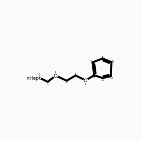 CCCCCCCCOCCOc1ccccc1